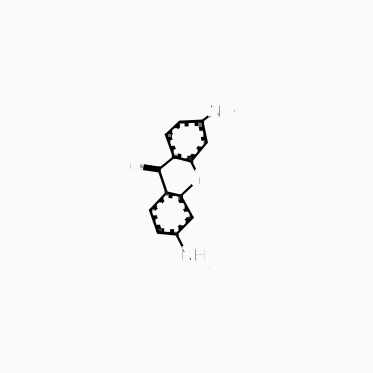 Nc1ccc2[c](c1)[Y][c]1cc([N+](=O)[O-])ccc1C2=O